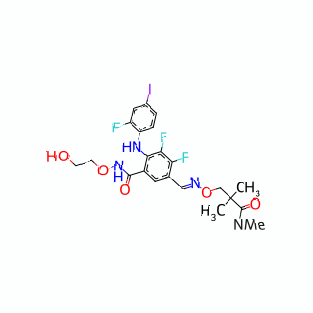 CNC(=O)C(C)(C)CO/N=C/c1cc(C(=O)NOCCO)c(Nc2ccc(I)cc2F)c(F)c1F